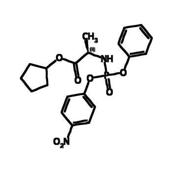 C[C@@H](NP(=O)(Oc1ccccc1)Oc1ccc([N+](=O)[O-])cc1)C(=O)OC1CCCC1